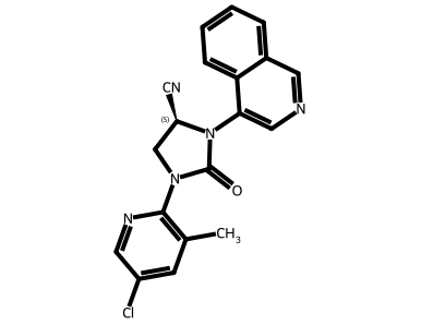 Cc1cc(Cl)cnc1N1C[C@@H](C#N)N(c2cncc3ccccc23)C1=O